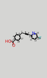 O=C(O)c1ccc(CC#Cc2ccc(F)cn2)cc1